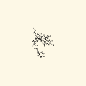 CCCC1O[C@@H]2C[C@H]3[C@@H]4C[C@H](F)C5=CC(=O)C=C[C@]5(C)[C@@]4(F)[C@@H](O)C[C@]3(C)[C@]2(C(=O)COC(=O)N(C)CCSSc2ccccn2)O1